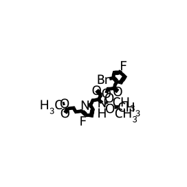 COC(=O)CCc1nc(CC(NC(=O)OC(C)(C)C)C(=O)OCC(=O)c2ccc(F)cc2Br)ccc1F